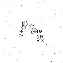 CC(C)(C)c1nc(C(=O)NCc2cc(F)c(-c3ncnn4cc(N5CCOCC5)cc34)cc2Cl)no1